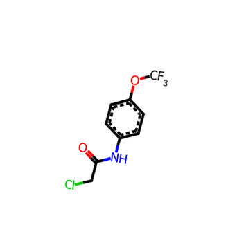 O=C(CCl)Nc1ccc(OC(F)(F)F)cc1